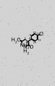 C=C(N)C[C@H](C(N)=O)c1ccc(Cl)cc1